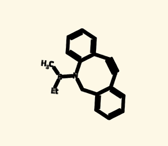 CCB(C)N1Cc2ccccc2C#Cc2ccccc21